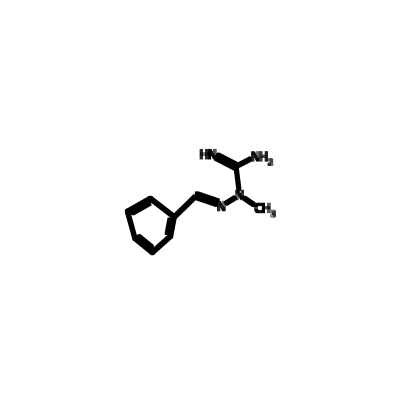 CN(N=Cc1ccccc1)C(=N)N